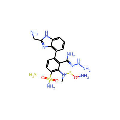 CN(SON)c1c(S(N)(=O)=O)ccc(-c2cccc3[nH]c(CN)nc23)c1/C(N)=N/NN.S